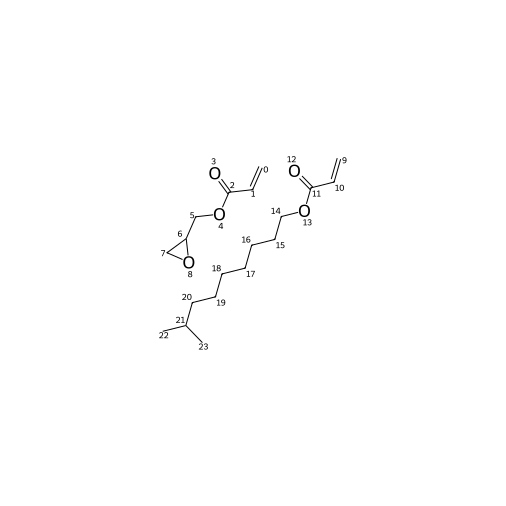 C=CC(=O)OCC1CO1.C=CC(=O)OCCCCCCCC(C)C